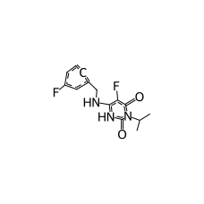 CC(C)n1c(=O)[nH]c(NCc2cccc(F)c2)c(F)c1=O